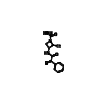 CC[C@H]1C(NC(=O)C(=O)c2ccccc2)CN1[PH](=O)O